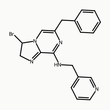 BrC1CN=C2C(NCc3cccnc3)=NC(Cc3ccccc3)=CN21